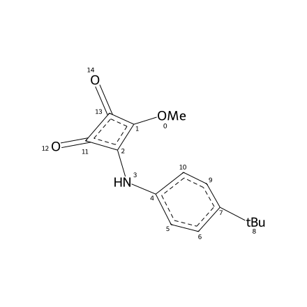 COc1c(Nc2ccc(C(C)(C)C)cc2)c(=O)c1=O